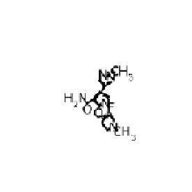 CN1CC[C@H](Oc2ncc(-c3cnn(C)c3)cc2C(N)=O)[C@@H](F)C1